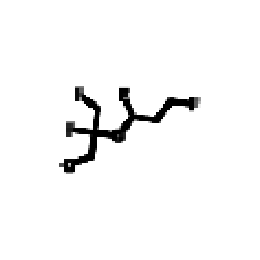 [O]CC(F)(CF)OC(F)CCF